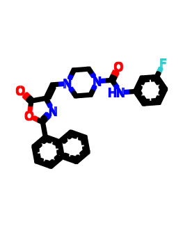 O=C1OC(c2cccc3ccccc23)=NC1=CN1CCN(C(=O)Nc2cccc(F)c2)CC1